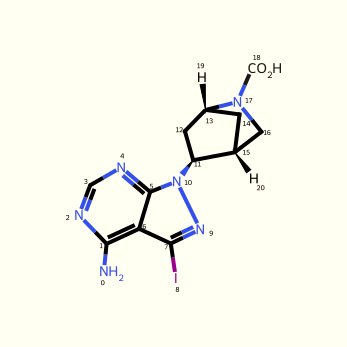 Nc1ncnc2c1c(I)nn2[C@H]1C[C@H]2C[C@@H]1CN2C(=O)O